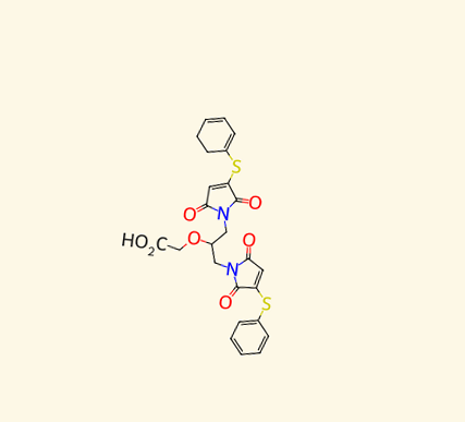 O=C(O)COC(CN1C(=O)C=C(SC2=CC=CCC2)C1=O)CN1C(=O)C=C(Sc2ccccc2)C1=O